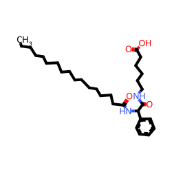 CCCCCCCCCCCCCCCCC(=O)NC(C(=O)NCCCCCC(=O)O)c1ccccc1